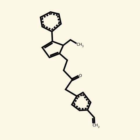 C=Cc1ccc(CC(=O)CCC2=CC=C(c3ccccc3)C2CC)cc1